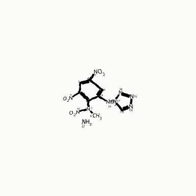 CN(c1c([N+](=O)[O-])cc([N+](=O)[O-])cc1[N+](=O)[O-])[N+](=O)[O-].N.c1nnn[nH]1